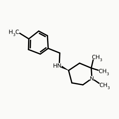 Cc1ccc(CN[C@@H]2CCN(C)C(C)(C)C2)cc1